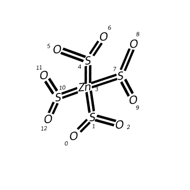 O=[S](=O)=[Zn](=[S](=O)=O)(=[S](=O)=O)=[S](=O)=O